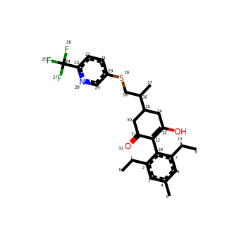 CCc1cc(C)cc(CC)c1C1=C(O)CC(C(C)CSc2ccc(C(F)(F)F)nc2)CC1=O